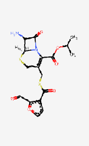 CC(C)OC(=O)C1=C(CSC(=O)c2ccoc2C=O)CS[C@H]2C(N)C(=O)N12